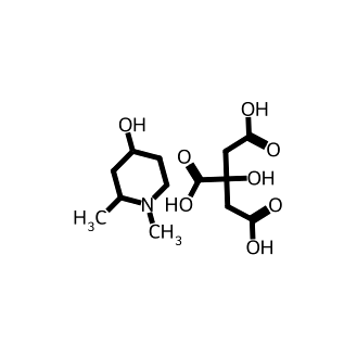 CC1CC(O)CCN1C.O=C(O)CC(O)(CC(=O)O)C(=O)O